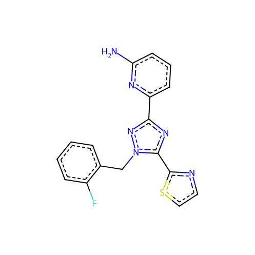 Nc1cccc(-c2nc(-c3nccs3)n(Cc3ccccc3F)n2)n1